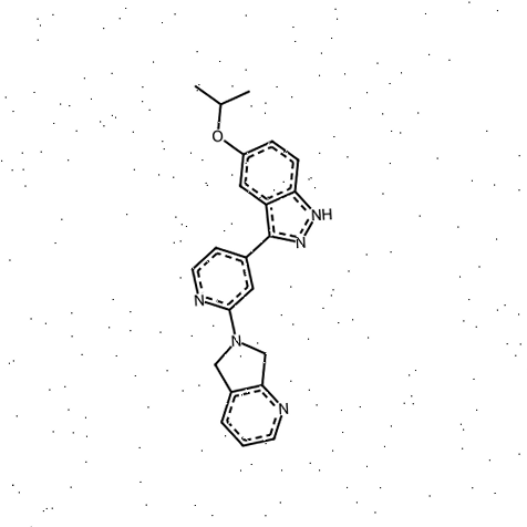 CC(C)Oc1ccc2[nH]nc(-c3ccnc(N4Cc5cccnc5C4)c3)c2c1